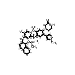 COc1cc(N2CCNC(=O)C2)c(-c2cnn(C)c2)cc1Nc1ncc(Br)c(Nc2ccc3nccnc3c2OP(C)C)n1